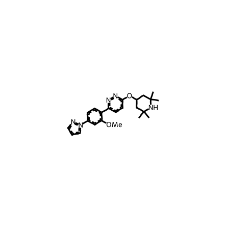 COc1cc(-n2cccn2)ccc1-c1ccc(OC2CC(C)(C)NC(C)(C)C2)nn1